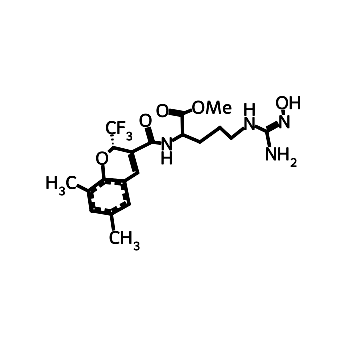 COC(=O)C(CCCN/C(N)=N\O)NC(=O)C1=Cc2cc(C)cc(C)c2O[C@@H]1C(F)(F)F